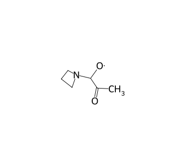 CC(=O)C([O])N1CCC1